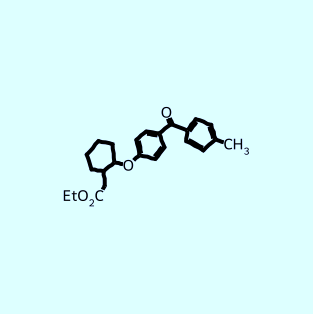 CCOC(=O)CC1CCCCC1Oc1ccc(C(=O)c2ccc(C)cc2)cc1